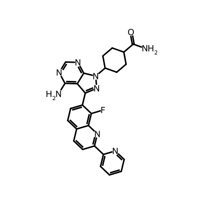 NC(=O)C1CCC(n2nc(-c3ccc4ccc(-c5ccccn5)nc4c3F)c3c(N)ncnc32)CC1